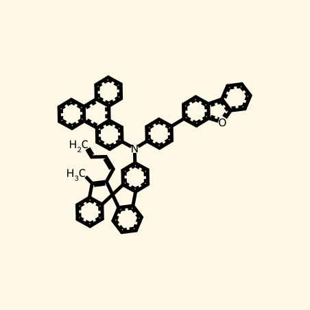 C=C/C=C\C1=C(C)c2ccccc2C12c1ccccc1-c1ccc(N(c3ccc(-c4ccc5c(c4)oc4ccccc45)cc3)c3ccc4c5ccccc5c5ccccc5c4c3)cc12